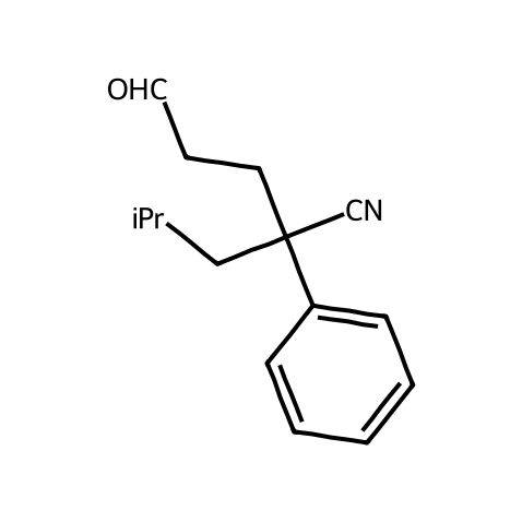 CC(C)CC(C#N)(CCC=O)c1ccccc1